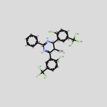 CC1C(c2cc(C(F)(F)F)ccc2F)=NC(c2ccccc2)=NC1c1cc(C(F)(F)F)ccc1F